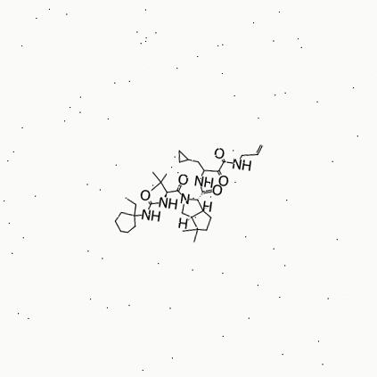 C=CCNC(=O)C(=O)C(CC1CC1)NC(=O)[C@@H]1[C@H]2CCC(C)(C)[C@H]2CN1C(=O)[C@@H](NC(=O)NC1(CC)CCCCC1)C(C)(C)C